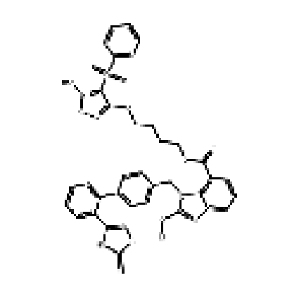 CCOc1nc2cccc(C(=O)OCCCCOc3no[n+](O)c3S(=O)(=O)c3ccccc3)c2n1Cc1ccc(-c2ccccc2-c2noc(=O)[nH]2)cc1